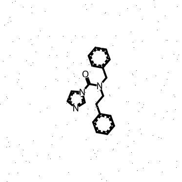 O=C(N(CCc1ccccc1)Cc1ccccc1)n1ccnc1